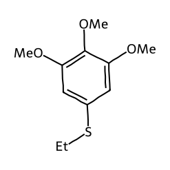 [CH2]CSc1cc(OC)c(OC)c(OC)c1